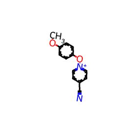 COc1ccc(O[n+]2ccc(C#N)cc2)cc1